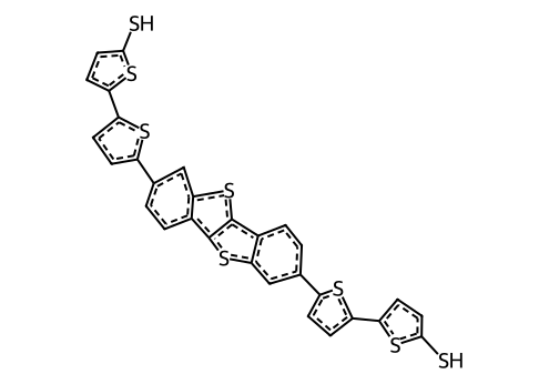 Sc1ccc(-c2ccc(-c3ccc4c(c3)sc3c5ccc(-c6ccc(-c7ccc(S)s7)s6)cc5sc43)s2)s1